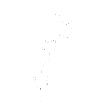 Fc1ccc(-n2cc(COc3ncc(Br)cn3)nn2)cc1C(F)F